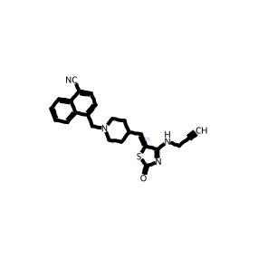 C#CCNC1=NC(=O)S/C1=C\C1CCN(Cc2ccc(C#N)c3ccccc23)CC1